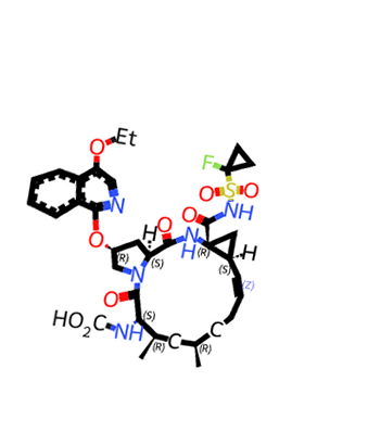 CCOc1cnc(O[C@@H]2C[C@H]3C(=O)N[C@]4(C(=O)NS(=O)(=O)C5(F)CC5)C[C@H]4/C=C\CC[C@@H](C)C[C@@H](C)[C@H](NC(=O)O)C(=O)N3C2)c2ccccc12